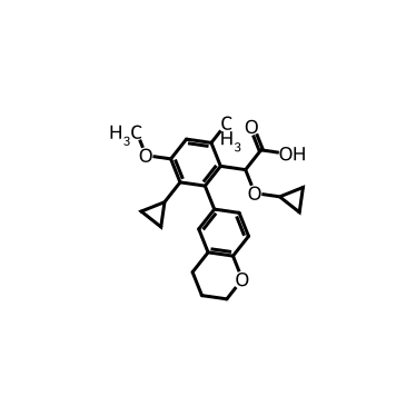 COc1cc(C)c(C(OC2CC2)C(=O)O)c(-c2ccc3c(c2)CCCO3)c1C1CC1